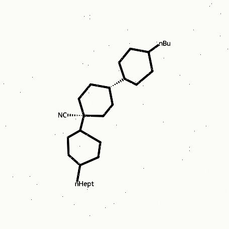 CCCCCCCC1CCC([C@]2(C#N)CC[C@@H](C3CCC(CCCC)CC3)CC2)CC1